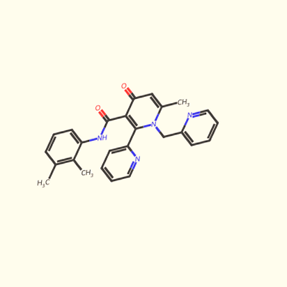 Cc1cccc(NC(=O)c2c(-c3ccccn3)n(Cc3ccccn3)c(C)cc2=O)c1C